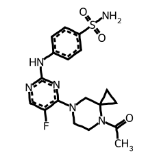 CC(=O)N1CCN(c2nc(Nc3ccc(S(N)(=O)=O)cc3)ncc2F)CC12CC2